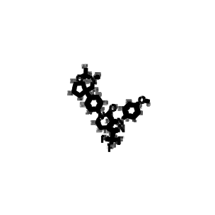 COc1ccc(-n2nc(C(F)(F)F)c3c2C(=O)N(c2ccc(C4(CN(C)C(C)=O)CCCC4)cc2)CC3)cc1